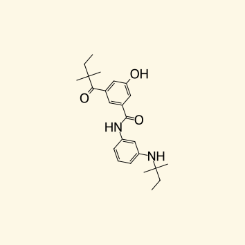 CCC(C)(C)Nc1cccc(NC(=O)c2cc(O)cc(C(=O)C(C)(C)CC)c2)c1